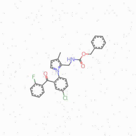 Cc1ccn(-c2ccc(Cl)cc2C(=O)c2ccccc2F)c1CNC(=O)OCc1ccccc1